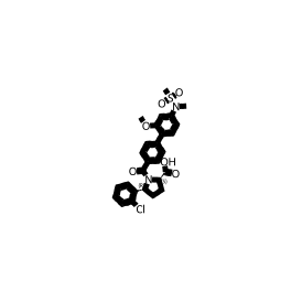 COc1cc(N(C)S(C)(=O)=O)ccc1-c1ccc(C(=O)N2[C@@H](c3ccccc3Cl)CC[C@H]2C(=O)O)cc1